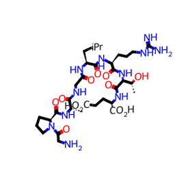 CC(C)C[C@H](NC(=O)CNC(=O)[C@H](C)NC(=O)[C@@H]1CCCN1C(=O)CN)C(=O)N[C@@H](CCCNC(=N)N)C(=O)N[C@H](C(=O)N[C@@H](CCC(=O)O)C(=O)O)[C@@H](C)O